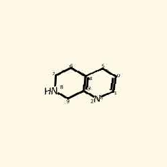 C1=C[N]C2=C(C1)CCNC2